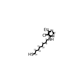 CCc1ncnc(NCCCCCCCCS)c1Cl